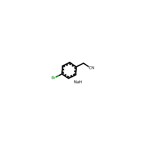 N#CCc1ccc(Br)cc1.[NaH]